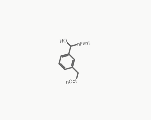 CCCCCCCCCc1cccc(C(O)CCCCC)c1